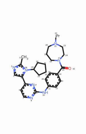 Cc1ncc(-c2ccnc(Nc3ccc(C(=O)N4CCCN(C(C)C)CC4)cc3)n2)n1C1CCCC1